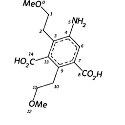 COCCc1c(N)cc(C(=O)O)c(CCOC)c1C(=O)O